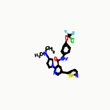 CN(C)C1CCN(c2ncc(-c3ccns3)cc2C(=O)Nc2ccc(OC(F)(F)Cl)cc2)C1